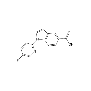 O=C(O)c1ccc2c(ccn2-c2ccc(F)cn2)c1